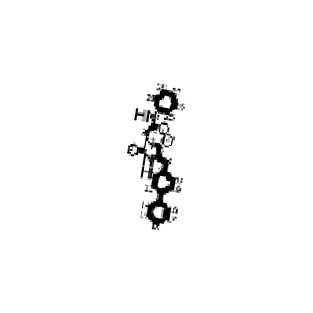 O=C(CN1C(=O)N/C(=C\c2ccc(-c3ccccc3)cc2)C1=O)Nc1ccccc1